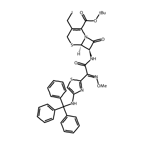 CON=C(C(=O)N[C@@H]1C(=O)N2C(C(=O)OC(C)(C)C)=C(CI)CS[C@H]12)c1nc(NC(c2ccccc2)(c2ccccc2)c2ccccc2)cs1